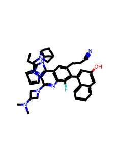 CCc1nc2c(N3CC(N(C)C)C3)nc3c(F)c(-c4cc(O)cc5ccccc45)c(CCC#N)cc3c2n1C1C2CC1N(Cc1ccc[nH]1)C2